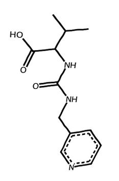 CC(C)C(NC(=O)NCc1cccnc1)C(=O)O